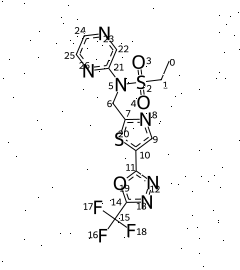 CCS(=O)(=O)N(Cc1ncc(-c2nnc(C(F)(F)F)o2)s1)c1cnccn1